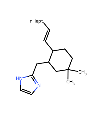 CCCCCCCC=CC1CCC(C)(C)CC1Cc1ncc[nH]1